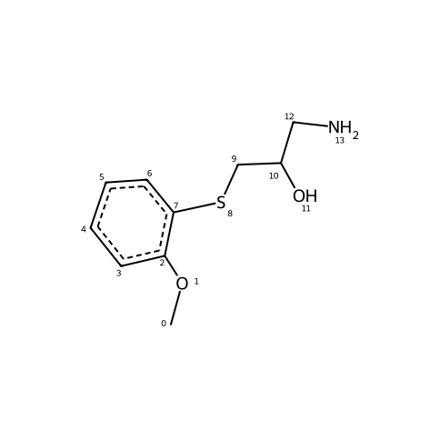 COc1ccccc1SCC(O)CN